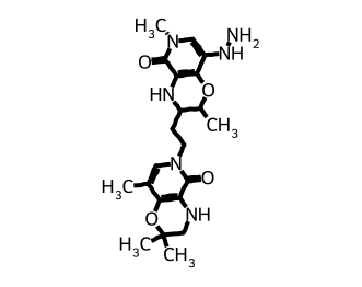 Cc1cn(CCC2Nc3c(c(NN)cn(C)c3=O)OC2C)c(=O)c2c1OC(C)(C)CN2